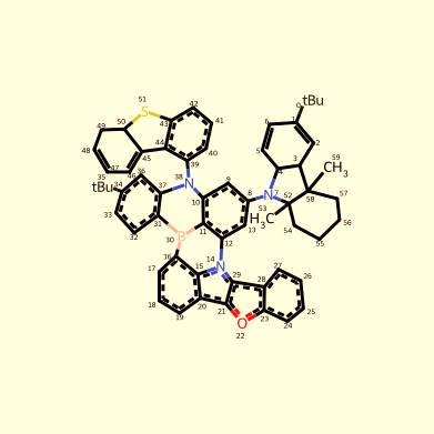 CC(C)(C)C1=CC2C(C=C1)N(c1cc3c4c(c1)-n1c5c(cccc5c5oc6ccccc6c51)B4c1ccc(C(C)(C)C)cc1N3c1cccc3c1C1=CC=CCC1S3)C1(C)CCCCC21C